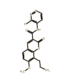 CCCc1c(OC)ccc2cc(C(=O)Nc3ccnnc3Cl)c(=O)oc12